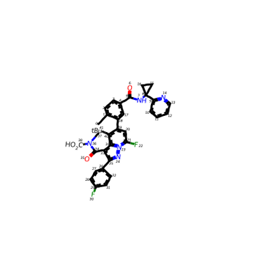 Cc1ccc(C(=O)NC2(c3ccccn3)CC2)cc1-c1cc(F)n2nc(-c3ccc(F)cc3)c(C(=O)N(C)C(=O)O)c2c1C(C)(C)C